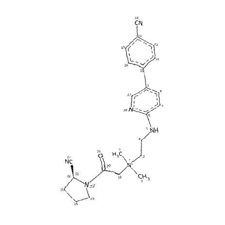 C[N+](C)(CCNc1ccc(-c2ccc(C#N)cc2)cn1)CC(=O)N1CCC[C@H]1C#N